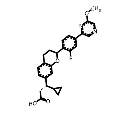 COc1cncc(-c2ccc(C3CCc4ccc([C@@H](CC(=O)O)C5CC5)cc4O3)c(F)c2)n1